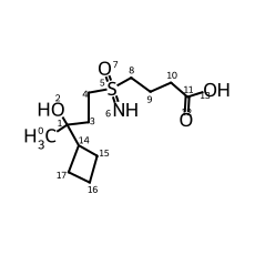 CC(O)(CCS(=N)(=O)CCCC(=O)O)C1CCC1